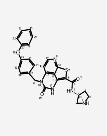 O=C(N[C@@H]1CCNC1)c1sc2nccc3c2c1NC(=O)N3Cc1ccc(Oc2ccccc2)cc1